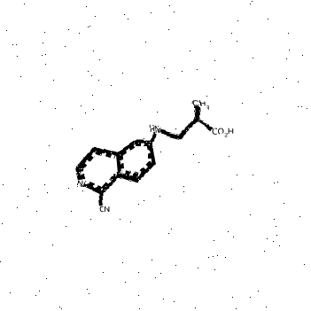 C[C@H](CNc1ccc2c(C#N)nccc2c1)C(=O)O